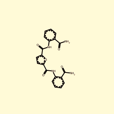 NC(=O)c1ccccc1NC(=O)c1ccc(C(=O)Nc2ccccc2C(N)=O)s1